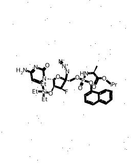 CC[Si](CC)(CC)O[C@H]1[C@H](n2ccc(N)nc2=O)O[C@@](COP(=O)(N[C@@H](C)C(=O)OC(C)C)Oc2cccc3ccccc23)(N=[N+]=[N-])[C@H]1F